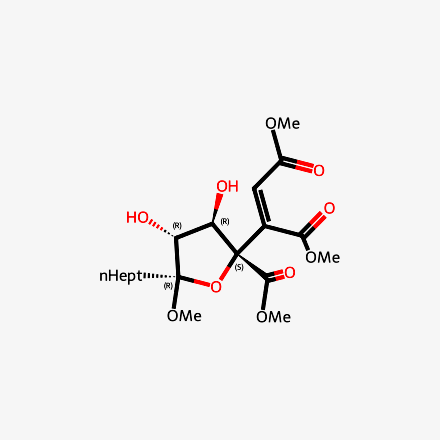 CCCCCCC[C@@]1(OC)O[C@@](C(=O)OC)(C(=CC(=O)OC)C(=O)OC)[C@H](O)[C@H]1O